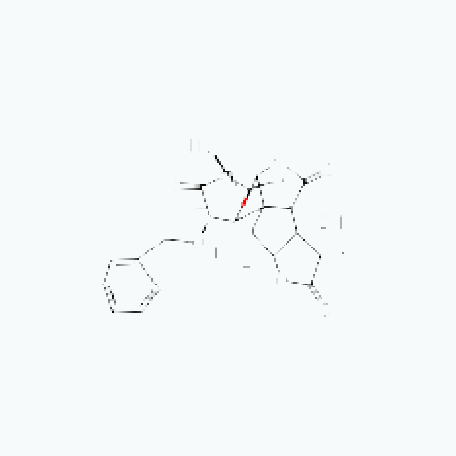 C[C@@H]1[C@@H](O)C2OC(=O)[C@]34OC5OC(=O)[C@H](OCc6ccccc6)C51C23[C@@H](O)[C@@H]1OC(=O)[C@@H](C)[C@@]14O